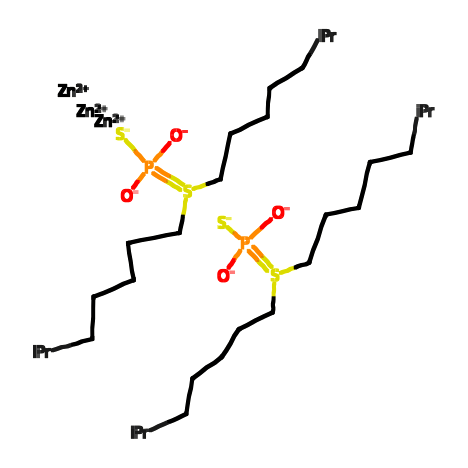 CC(C)CCCCCS(CCCCCC(C)C)=P([O-])([O-])[S-].CC(C)CCCCCS(CCCCCC(C)C)=P([O-])([O-])[S-].[Zn+2].[Zn+2].[Zn+2]